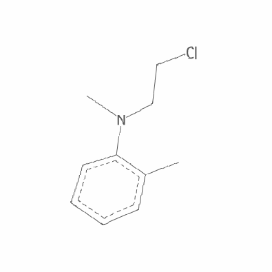 Cc1ccccc1N(C)CCCl